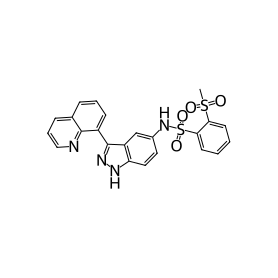 CS(=O)(=O)c1ccccc1S(=O)(=O)Nc1ccc2[nH]nc(-c3cccc4cccnc34)c2c1